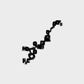 O=C(NC12CC(n3cc(OCCCOC(F)(F)F)cn3)(C1)C2)[C@H]1C[C@@H](O)c2cc(C(F)(F)F)ccc2O1